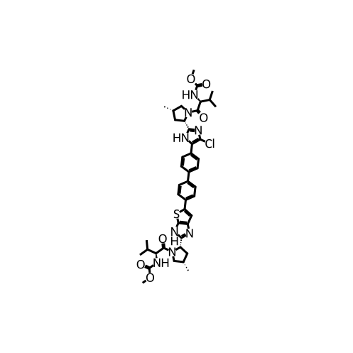 COC(=O)N[C@H](C(=O)N1C[C@@H](C)C[C@H]1c1nc(Cl)c(-c2ccc(-c3ccc(-c4cc5nc([C@@H]6C[C@H](C)CN6C(=O)[C@@H](NC(=O)OC)C(C)C)[nH]c5s4)cc3)cc2)[nH]1)C(C)C